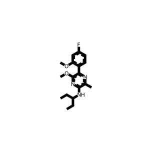 CCC(CC)Nc1nc(OC)c(-c2ccc(F)cc2OC)nc1C